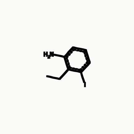 CCc1c(N)cccc1I